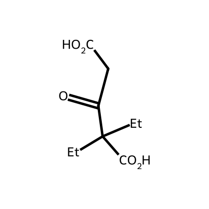 CCC(CC)(C(=O)O)C(=O)CC(=O)O